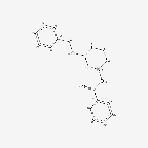 O=C(ON1CCOC(OCc2ccccc2)C1)c1ccccc1